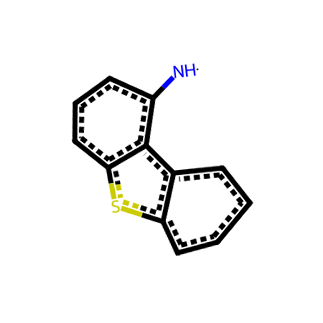 [NH]c1cccc2sc3ccccc3c12